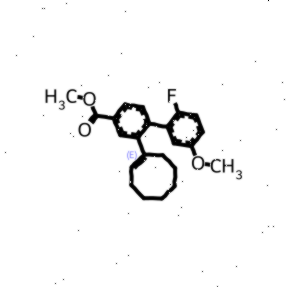 COC(=O)c1ccc(-c2cc(OC)ccc2F)c(/C2=C/CCCCCC2)c1